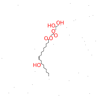 CCCCCC[C@@H](O)C/C=C\CCCCCCCC(=O)OCC(=O)OCC(O)CO